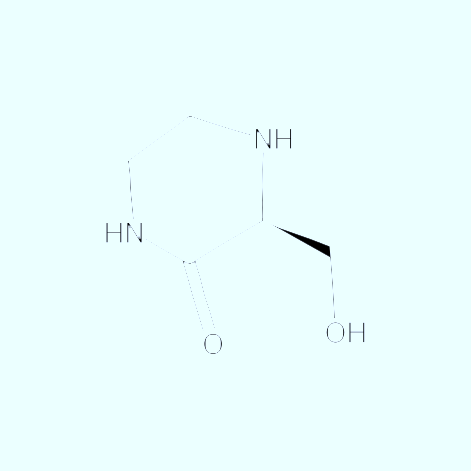 O=C1NCCN[C@H]1CO